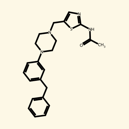 CC(=O)Nc1ncc(CN2CCN(c3[c]ccc(Cc4ccccc4)c3)CC2)s1